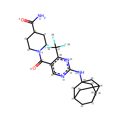 NC(=O)C1CCN(C(=O)c2cnc(NC34CCC5CC(CC(C5)C3)C4)nc2C(F)(F)F)CC1